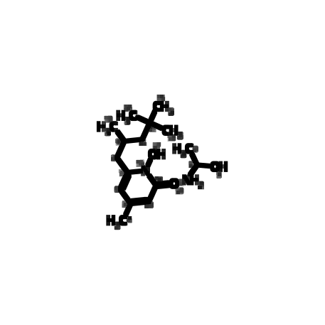 CC(N)O.Cc1cc(CC(C)CC(C)(C)C)n(O)c(=O)c1